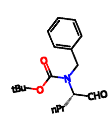 CCC[C@@H](C=O)N(Cc1ccccc1)C(=O)OC(C)(C)C